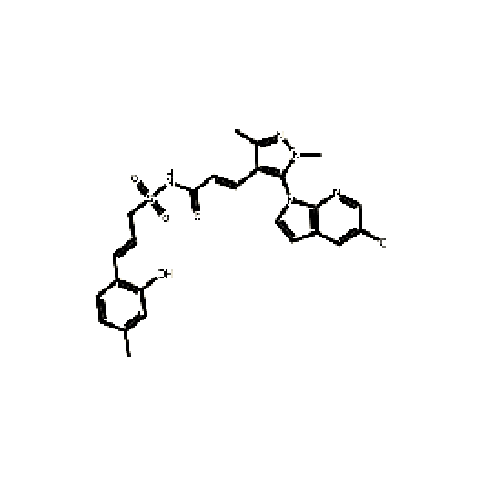 Cc1ccc(C=CCS(=O)(=O)NC(=O)/C=C/c2c(C)nn(C)c2-n2ccc3cc(Cl)cnc32)c(O)c1